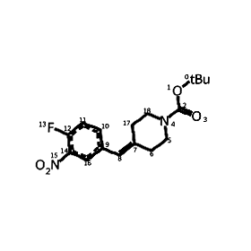 CC(C)(C)OC(=O)N1CCC(=Cc2ccc(F)c([N+](=O)[O-])c2)CC1